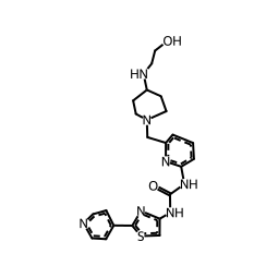 O=C(Nc1cccc(CN2CCC(NCCO)CC2)n1)Nc1csc(-c2ccncc2)n1